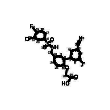 N#Cc1cc(F)cc(-c2cc(CNS(=O)(=O)c3ccc(F)c(Cl)c3)ccc2OCC(=O)O)c1